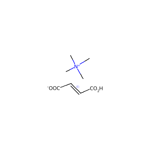 C[N+](C)(C)C.O=C([O-])/C=C/C(=O)O